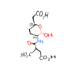 O=C(O)CC(C(=O)O)C(=O)N[C@H]1CC[C@@H](CC(=O)O)OB1O